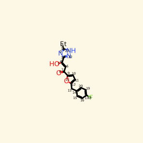 CCc1nc(C(O)=CC(=O)c2ccc(Cc3ccc(F)cc3)o2)n[nH]1